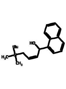 CC(C)(C)[Si](C)(C)C/C=C\C(O)c1cccc2ccccc12